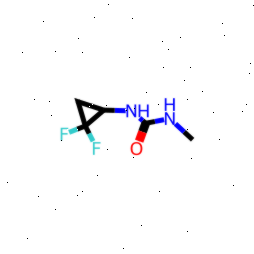 CNC(=O)NC1CC1(F)F